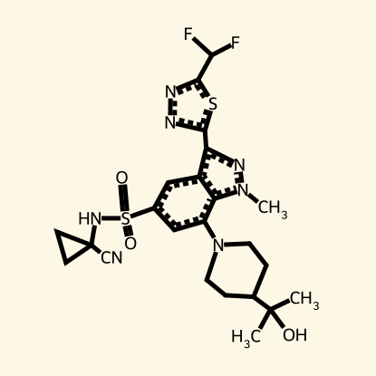 Cn1nc(-c2nnc(C(F)F)s2)c2cc(S(=O)(=O)NC3(C#N)CC3)cc(N3CCC(C(C)(C)O)CC3)c21